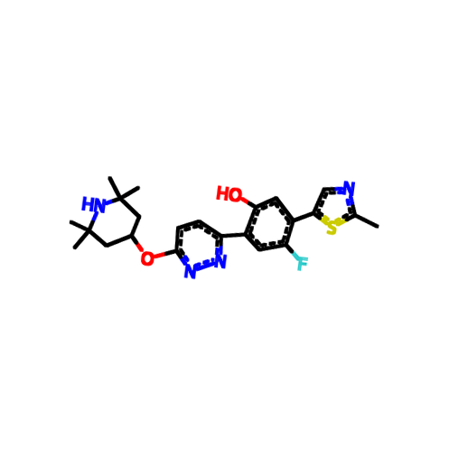 Cc1ncc(-c2cc(O)c(-c3ccc(OC4CC(C)(C)NC(C)(C)C4)nn3)cc2F)s1